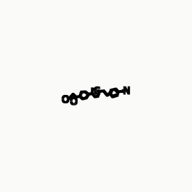 N#Cc1ccc(CCC2CCC(C3CCC(C4CC(=O)O4)CC3)CC2)cc1